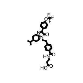 CC(C)C1CCC2(CC1)N=C(c1ccc(OC(F)(F)F)cc1)C(=O)N2CCc1ccc(C(=O)NCCC(=O)O)cc1